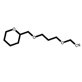 N#CCOCCCOCC1CCCCO1